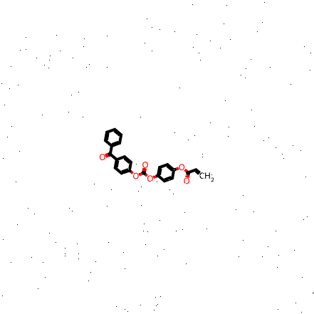 C=CC(=O)Oc1ccc(OC(=O)Oc2ccc(C(=O)c3ccccc3)cc2)cc1